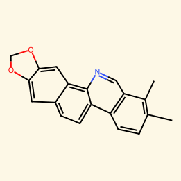 Cc1ccc2c(cnc3c4cc5c(cc4ccc23)OCO5)c1C